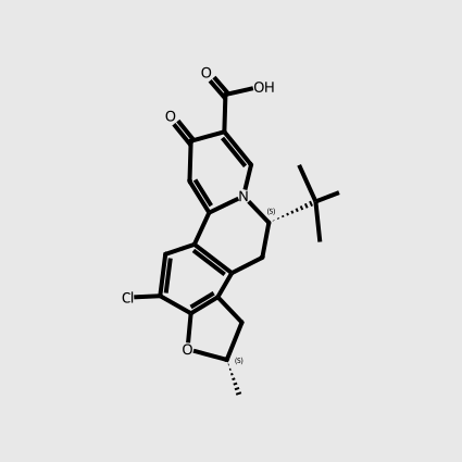 C[C@H]1Cc2c3c(cc(Cl)c2O1)-c1cc(=O)c(C(=O)O)cn1[C@H](C(C)(C)C)C3